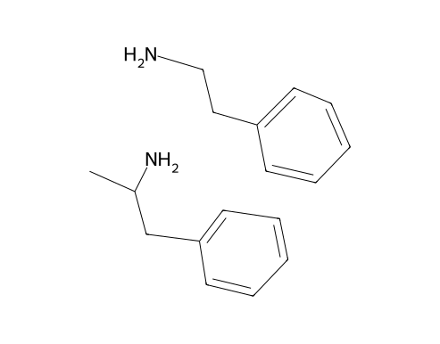 CC(N)Cc1ccccc1.NCCc1ccccc1